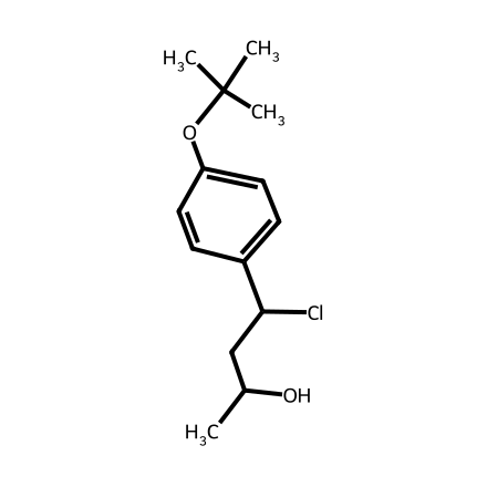 CC(O)CC(Cl)c1ccc(OC(C)(C)C)cc1